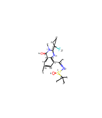 C/C(=N/[S@+]([O-])C(C)(C)C)c1cc(C)cc2c(=O)n(C)c(C3(F)CC3)nc12